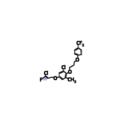 Cc1cc(OC/C=C(/F)Cl)cc(Cl)c1OCCCOc1ccc(C(F)(F)F)cc1